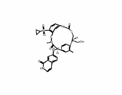 Cc1cc2ccc1[C@@H](CO)COC(=O)Nc1ccc(S(=O)(=O)C3CC3)c(c1)CN(C)C(=O)[C@@H]2Nc1ccc2cc[nH]c(=O)c2c1